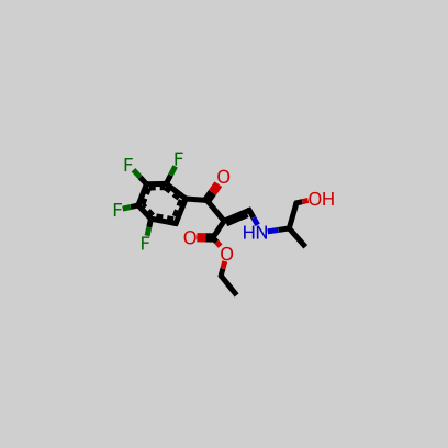 CCOC(=O)C(=CNC(C)CO)C(=O)c1cc(F)c(F)c(F)c1F